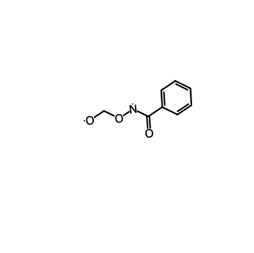 [O]CO[N]C(=O)c1ccccc1